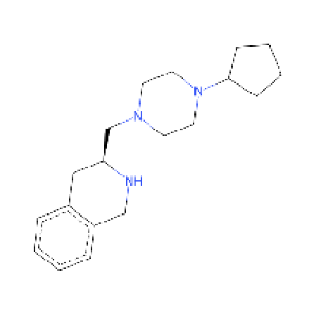 c1ccc2c(c1)CN[C@H](CN1CCN(C3CCCC3)CC1)C2